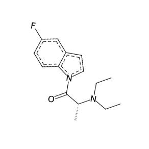 CCN(CC)[C@H](C)C(=O)n1ccc2cc(F)ccc21